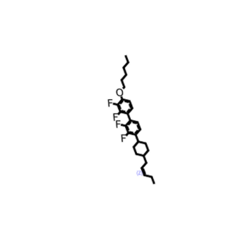 CC/C=C\CC1CCC(c2ccc(-c3ccc(OCCCCCC)c(F)c3F)c(F)c2F)CC1